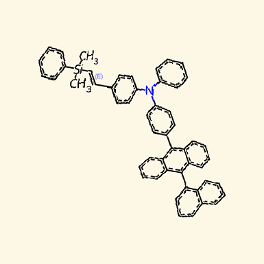 C[Si](C)(/C=C/c1ccc(N(c2ccccc2)c2ccc(-c3c4ccccc4c(-c4cccc5ccccc45)c4ccccc34)cc2)cc1)c1ccccc1